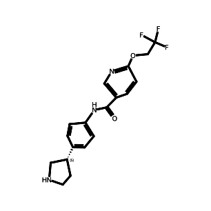 O=C(Nc1ccc([C@@H]2CCNC2)cc1)c1ccc(OCC(F)(F)F)nc1